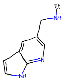 CCNCc1cnc2[nH]ccc2c1